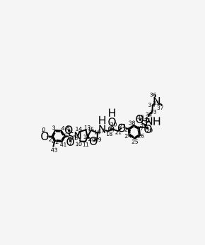 COc1ccc(S(=O)(=O)N2CCC3(CC2)CC(NC[C@H](O)COc2cccc(S(=O)(=O)NCCCN(C)C)c2)CO3)cc1C